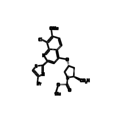 COc1ccc2c(O[C@@H]3C[C@@H](C(=O)O)N(C(=O)OC(C)(C)C)C3)cc(-c3nc(C(C)C)cs3)nc2c1Cl